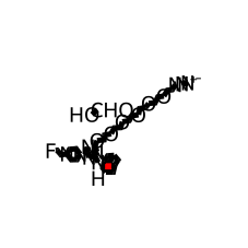 O=CO.[N-]=[N+]=NCCOCCOCCOCCOCCOCCOc1nc(NC23CC4CC(CC(C4)C2)C3)nc(N2CCN(CCF)CC2)n1